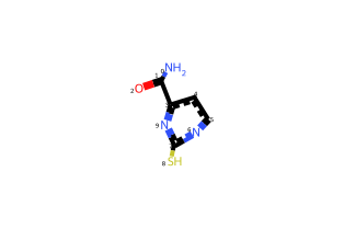 NC(=O)c1ccnc(S)n1